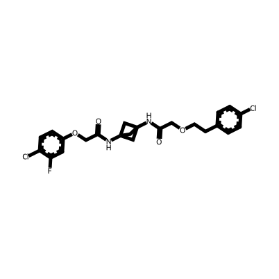 O=C(COCCc1ccc(Cl)cc1)NC12CC(NC(=O)COc3ccc(Cl)c(F)c3)(C1)C2